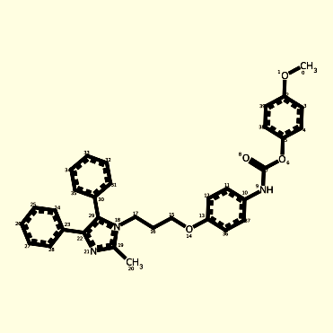 COc1ccc(OC(=O)Nc2ccc(OCCCn3c(C)nc(-c4ccccc4)c3-c3ccccc3)cc2)cc1